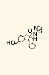 CC1(C(=O)Nc2nccs2)Cc2ccc(CO)cc2C1c1ccccc1